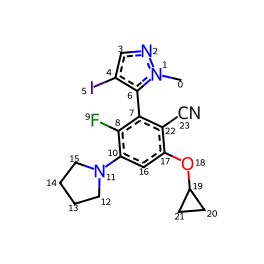 Cn1ncc(I)c1-c1c(F)c(N2CCCC2)cc(OC2CC2)c1C#N